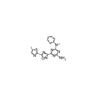 Cc1cnc(-c2nc(-c3nc(N)nc(N(C)c4ccccc4)n3)no2)s1